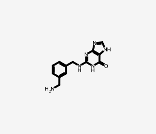 NCc1cccc(CNc2nc3nc[nH]c3c(=O)[nH]2)c1